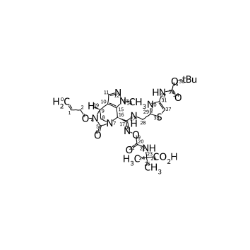 C=CCON1C(=O)N2C[C@H]1c1cnn(C)c1[C@H]2/C(=N/OC(=O)NC(C)(C)C(=O)O)NCc1nc(NC(=O)OC(C)(C)C)cs1